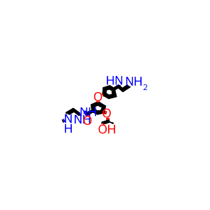 CN/C=C\C(=N)NC(=O)c1cc(Oc2ccc(C(=N)/C=C\N)cc2)cc(O[C@@H](C)CO)c1